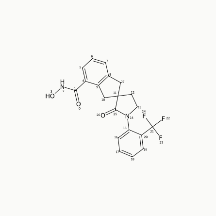 O=C(NO)c1cccc2c1CC1(CCN(c3ccccc3C(F)(F)F)C1=O)C2